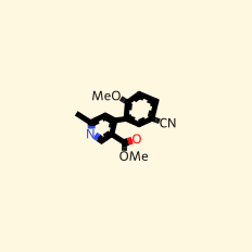 COC(=O)c1cnc(C)cc1-c1cc(C#N)ccc1OC